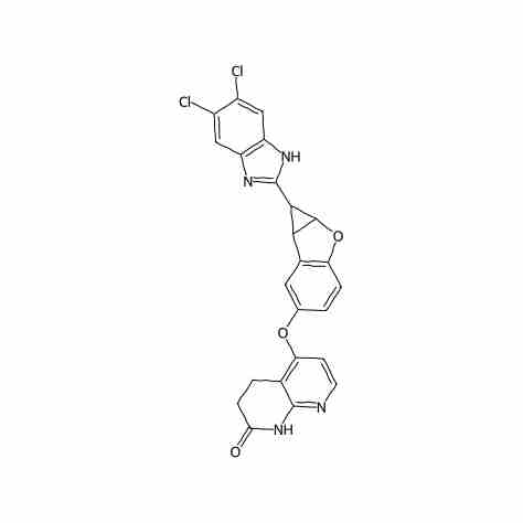 O=C1CCc2c(Oc3ccc4c(c3)C3C(O4)C3c3nc4cc(Cl)c(Cl)cc4[nH]3)ccnc2N1